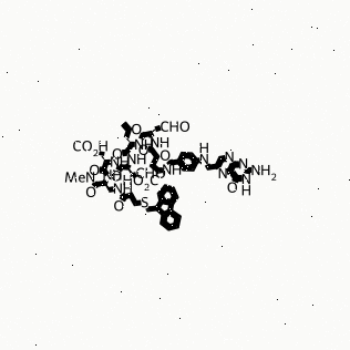 C=CC[C@H](NC(=O)[C@H](CC=O)NC(=O)CC[C@H](NC(=O)c1ccc(NCc2cnc3nc(N)[nH]c(=O)c3n2)cc1)C(=O)O)C(=O)N[C@@H](CC=O)C(=O)N[C@@H](CC(=O)O)C(=O)N[C@@H](CNC(=O)CCSCC1c2ccccc2-c2ccccc21)C(=O)NC